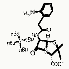 CC1(C)S[C@@H]2C(NC(=O)Cc3ccccc3N)C(=O)N2[C@H]1C(=O)[O-].CCCC[N+](CCCC)(CCCC)CCCC